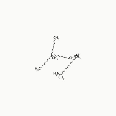 CCCCCCCCCCCCC(C)N.CCCCCCCCC[N+](C)(CCCCCCCCC)CCCCCCCCC.Cl.[Cl-]